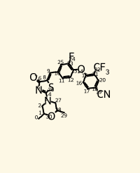 CC1CN(C2=NC(=O)C(=Cc3ccc(Oc4ccc(C#N)cc4C(F)(F)F)c(F)c3)S2)CC(C)O1